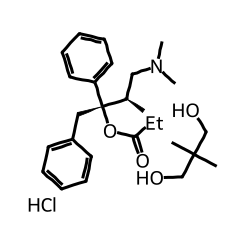 CC(C)(CO)CO.CCC(=O)O[C@](Cc1ccccc1)(c1ccccc1)[C@H](C)CN(C)C.Cl